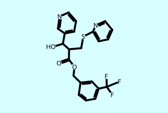 O=C(OCc1cccc(C(F)(F)F)c1)C(CSc1ccccn1)C(O)c1cccnc1